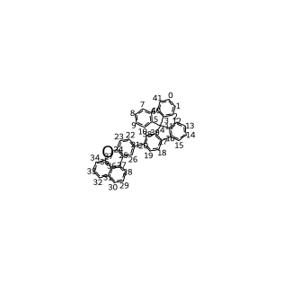 c1ccc(C2(c3ccccc3)c3ccccc3-c3ccc(-c4ccc5c(c4)-c4cccc6cccc(c46)O5)cc32)cc1